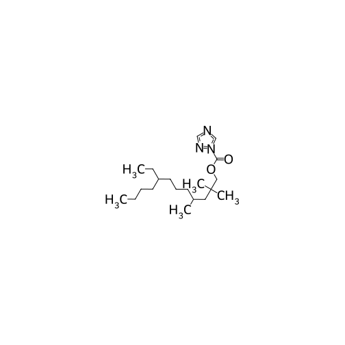 CCCCC(CC)CCCC(C)CC(C)(C)COC(=O)n1cncn1